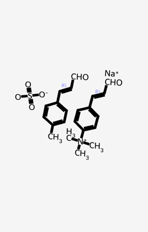 C[N+](C)(C)c1ccc(/C=C/C=O)cc1.Cc1ccc(/C=C/C=O)cc1.O=S(=O)([O-])[O-].[Na+]